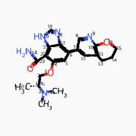 C[C@H](COc1cc(-c2cnc3c(c2)CCCO3)c2nc[nH]c2c1C(N)=O)N(C)C